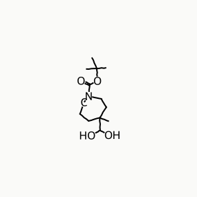 CC(C)(C)OC(=O)N1CCCC(C)(C(O)O)CC1